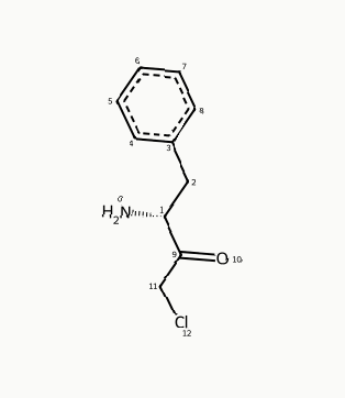 N[C@H](Cc1ccccc1)C(=O)CCl